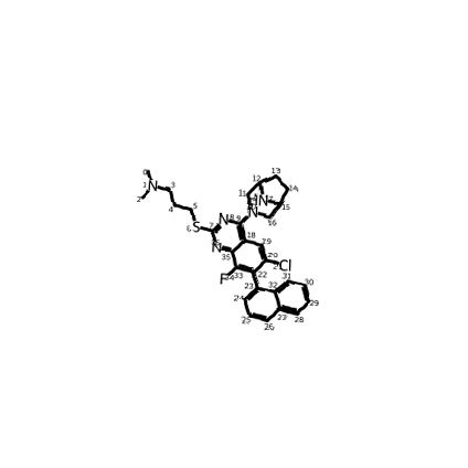 CN(C)CCCSc1nc(N2CC3CCC(C2)N3)c2cc(Cl)c(-c3cccc4ccccc34)c(F)c2n1